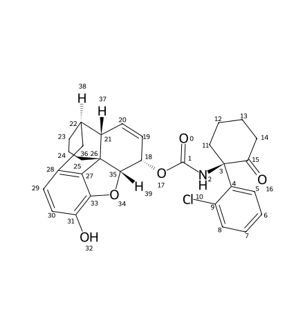 O=C(N[C@@]1(c2ccccc2Cl)CCCCC1=O)O[C@H]1C=C[C@H]2[C@@H]3CCC[C@@]24c2c(ccc(O)c2O[C@@H]14)C3